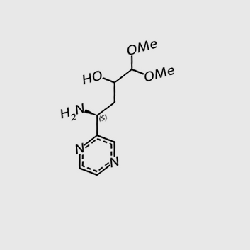 COC(OC)C(O)C[C@H](N)c1cnccn1